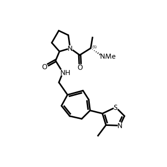 CN[C@@H](C)C(=O)N1CCCC1C(=O)NCC1=CC=C(c2scnc2C)CC=C1